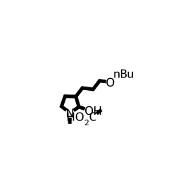 CC(=O)O.CCCCOCCCC1CCN(C)C1O